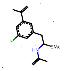 C=C(C)NC(Cc1cc(F)cc(C(=C)C)c1)SC